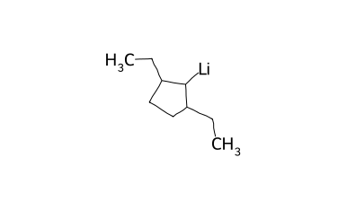 [Li][CH]1C(CC)CCC1CC